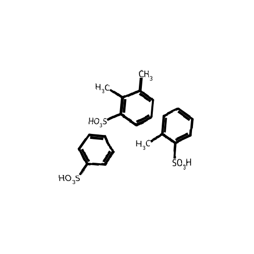 Cc1cccc(S(=O)(=O)O)c1C.Cc1ccccc1S(=O)(=O)O.O=S(=O)(O)c1ccccc1